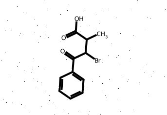 CC(C(=O)O)C(Br)C(=O)c1ccccc1